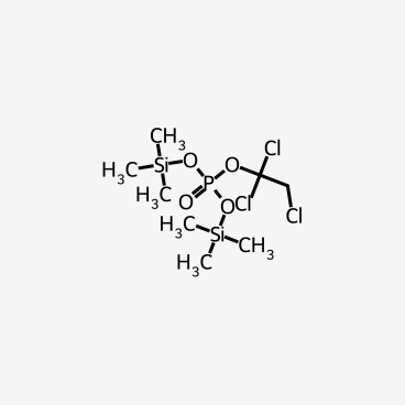 C[Si](C)(C)OP(=O)(OC(Cl)(Cl)CCl)O[Si](C)(C)C